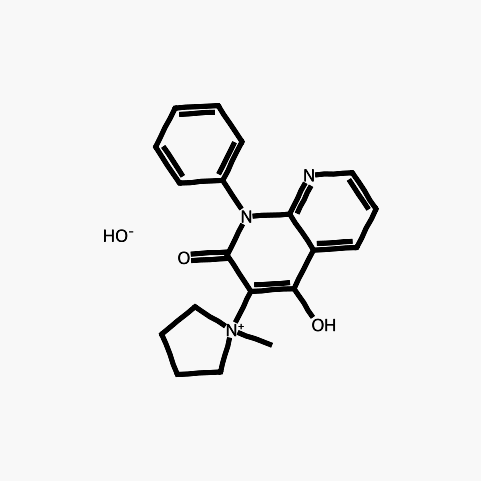 C[N+]1(c2c(O)c3cccnc3n(-c3ccccc3)c2=O)CCCC1.[OH-]